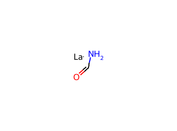 NC=O.[La]